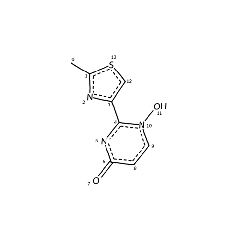 Cc1nc(-c2nc(=O)ccn2O)cs1